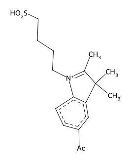 CC(=O)c1ccc2c(c1)C(C)(C)C(C)=[N+]2CCCCS(=O)(=O)O